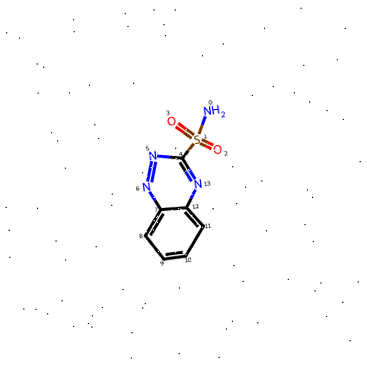 NS(=O)(=O)c1nnc2ccccc2n1